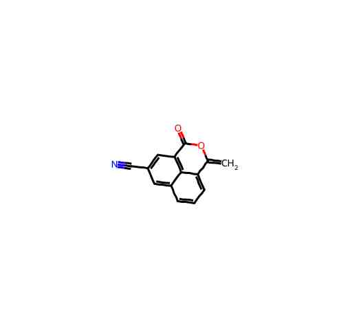 C=c1oc(=O)c2cc(C#N)cc3cccc1c32